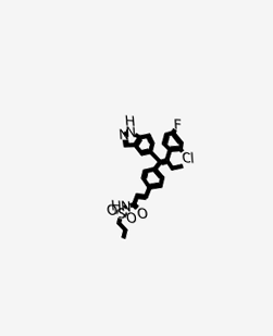 CCCS(=O)(=O)NC(=O)C=Cc1ccc(C(=C(CC)c2ccc(F)cc2Cl)c2ccc3[nH]ncc3c2)cc1